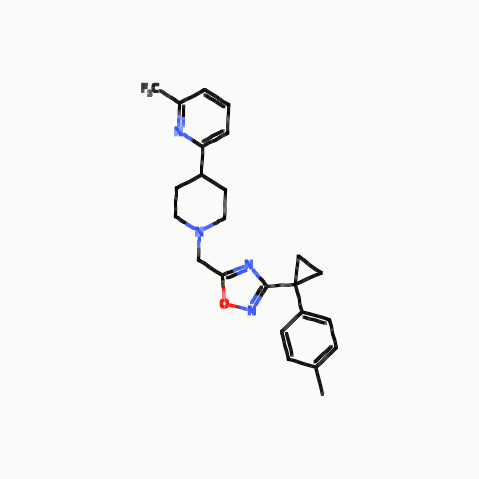 Cc1ccc(C2(c3noc(CN4CCC(c5cccc(C(F)(F)F)n5)CC4)n3)CC2)cc1